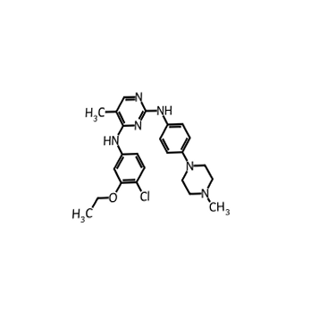 CCOc1cc(Nc2nc(Nc3ccc(N4CCN(C)CC4)cc3)ncc2C)ccc1Cl